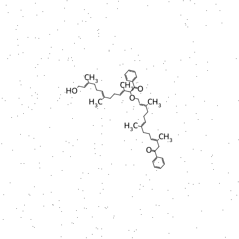 CC(=CCO)CCC=C(C)CCC=C(C)C(OCC=C(C)CCC=C(C)CCC=C(C)CC(=O)c1ccccc1)C(=O)c1ccccc1